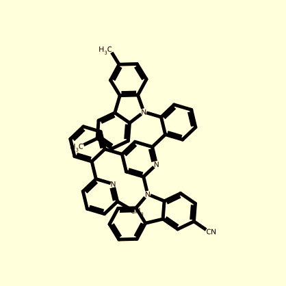 Cc1ccc2c(c1)c1cc(C)ccc1n2-c1ccccc1-c1cc(-c2ccccc2-c2cccc(C)n2)cc(-n2c3ccccc3c3cc(C#N)ccc32)n1